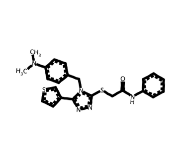 CN(C)c1ccc(Cn2c(SCC(=O)Nc3ccccc3)nnc2-c2ccsc2)cc1